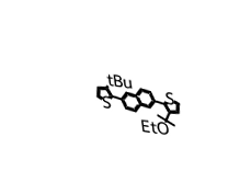 CCOC(C)(C)c1ccsc1-c1ccc2cc(-c3sccc3C(C)(C)C)ccc2c1